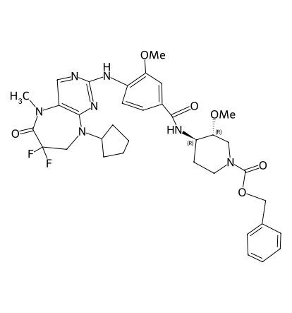 COc1cc(C(=O)N[C@@H]2CCN(C(=O)OCc3ccccc3)C[C@H]2OC)ccc1Nc1ncc2c(n1)N(C1CCCC1)CC(F)(F)C(=O)N2C